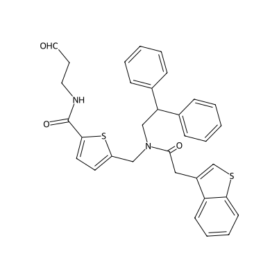 O=CCCNC(=O)c1ccc(CN(CC(c2ccccc2)c2ccccc2)C(=O)Cc2csc3ccccc23)s1